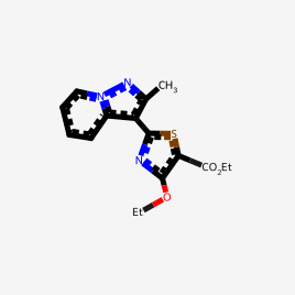 CCOC(=O)c1sc(-c2c(C)nn3ccccc23)nc1OCC